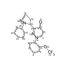 O=c1ccn(-c2ccccc2OC(F)(F)F)nc1C1CC=NN1c1ccccc1